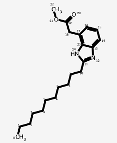 CCCCCCCCCCCc1nc2cccc(CC(=O)OC)c2[nH]1